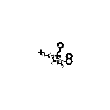 C[C@H](NC(=O)[C@H](CC(=O)NCC(C)(C)C)NC1(CCc2ccccn2)COC1)C(=O)N[C@@H]1CCCc2ccccc21